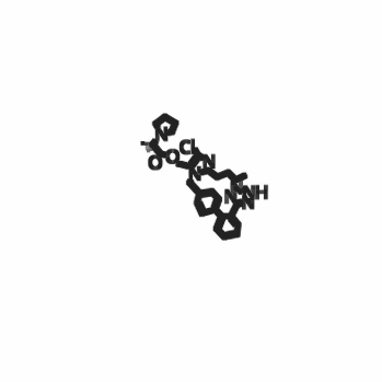 CCCCc1nc(Cl)c(COC(=O)[C@H](C)N2CCCC2)n1Cc1ccc(-c2ccccc2-c2nn[nH]n2)cc1